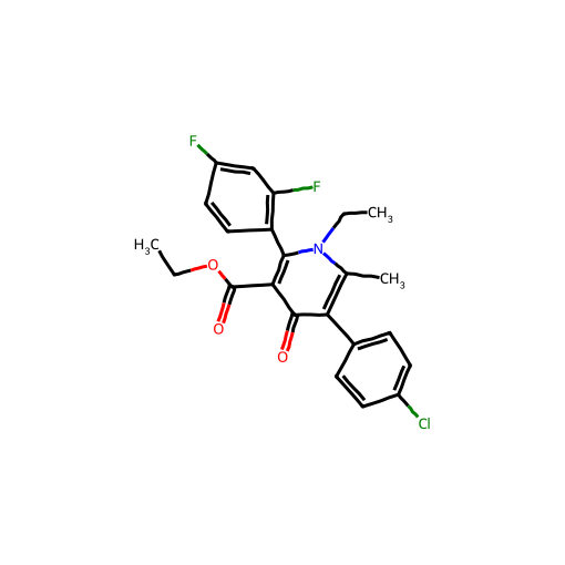 CCOC(=O)c1c(-c2ccc(F)cc2F)n(CC)c(C)c(-c2ccc(Cl)cc2)c1=O